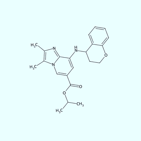 Cc1nc2c(NC3CCOc4ccccc43)cc(C(=O)OC(C)C)cn2c1C